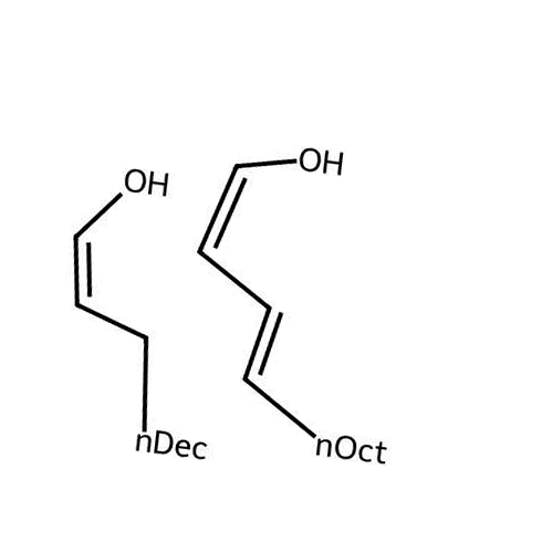 CCCCCCCC/C=C/C=C\O.CCCCCCCCCCC/C=C\O